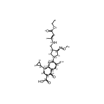 CCOC(=O)/C=C(\C)NCC1CN(c2nc3c(cc2F)c(=O)c(C(=O)O)cn3C2CC2)CC1=NOC